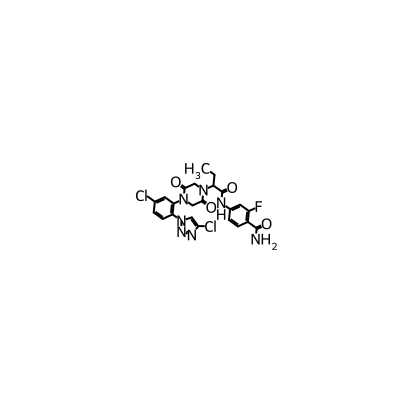 CCC(C(=O)Nc1ccc(C(N)=O)c(F)c1)N1CC(=O)N(c2cc(Cl)ccc2-n2cc(Cl)nn2)CC1=O